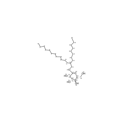 CCCCCCCCCCCCC(CCCCCCCC)COC1O[C@H](CO)[C@@H](O)[C@H](O)[C@@H]1O